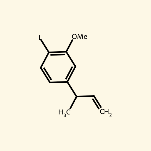 C=C[C](C)c1ccc(I)c(OC)c1